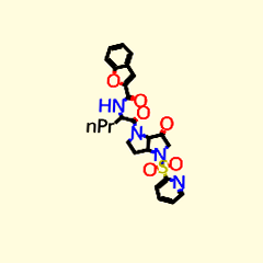 CCCC(NC(=O)c1cc2ccccc2o1)C(=O)N1CCC2C1C(=O)CN2S(=O)(=O)c1ccccn1